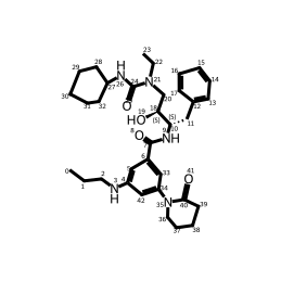 CCCNc1cc(C(=O)N[C@@H](Cc2ccccc2)[C@@H](O)CN(CC)C(=O)NC2CCCCC2)cc(N2CCCCC2=O)c1